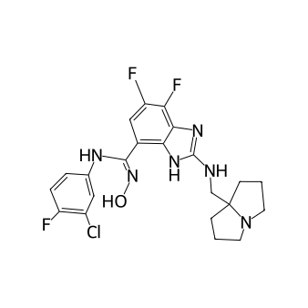 ON=C(Nc1ccc(F)c(Cl)c1)c1cc(F)c(F)c2nc(NCC34CCCN3CCC4)[nH]c12